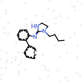 CCCCN1CCN/C1=N\c1ccccc1-c1ccccc1